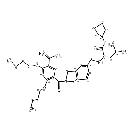 C=C(C)c1cc(C(=O)N2Cc3ccc(CN[C@@H](CC(C)C)C(=O)OC4CCCC4)cc3C2)c(OCCCC)cc1OCCCC